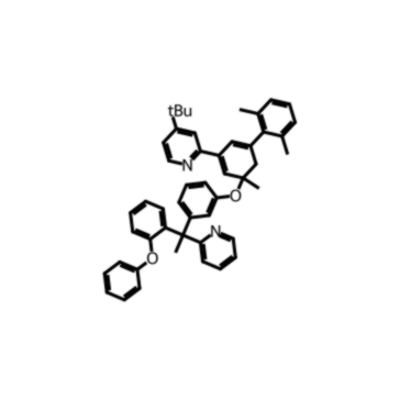 Cc1cccc(C)c1C1=CC(c2cc(C(C)(C)C)ccn2)=CC(C)(Oc2cccc(C(C)(c3ccccn3)c3ccccc3Oc3ccccc3)c2)C1